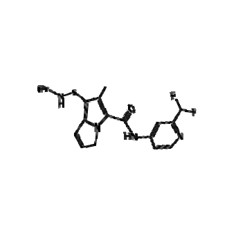 Cc1c(SNC(C)C)c2n(c1C(=O)Nc1ccnc(C(F)F)c1)CC=C2